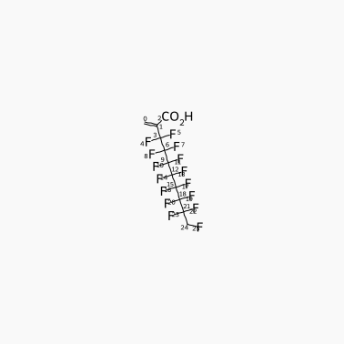 C=C(C(=O)O)C(F)(F)C(F)(F)C(F)(F)C(F)(F)C(F)(F)C(F)(F)C(F)(F)CF